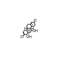 C[C@]12CCC(=O)C=C1CC[C@@H]1[C@@H]2[C@@H](O)C[C@]2(C)C(O)C(Cl)=CC[C@@H]12